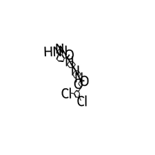 O=C(OCc1cc(Cl)cc(Cl)c1)N1CCN(C2CCN(C(=O)c3cccc4[nH]nnc34)CC2)CC1